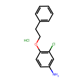 Cl.Nc1ccc(OCCc2ccccc2)c(Cl)c1